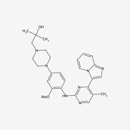 COc1cc(N2CCN(CC(C)(C)O)CC2)ccc1Nc1ncc(C)c(-c2cnc3ccccn23)n1